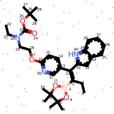 CC/C(B1OC(C)(C)C(C)(C)O1)=C(/c1ccc(OCCN(CC)C(=O)OC(C)(C)C)nc1)c1cc2ccccc2[nH]1